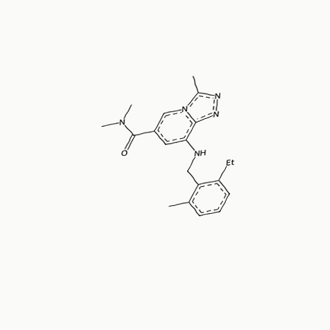 CCc1cccc(C)c1CNc1cc(C(=O)N(C)C)cn2c(C)nnc12